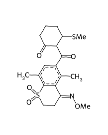 CON=C1CCS(=O)(=O)c2c(C)cc(C(=O)C3C(=O)CCCC3SC)c(C)c21